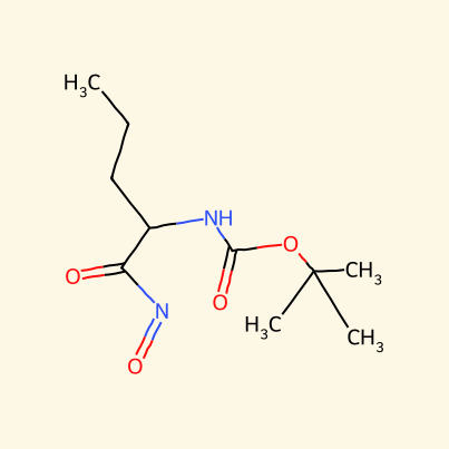 CCCC(NC(=O)OC(C)(C)C)C(=O)N=O